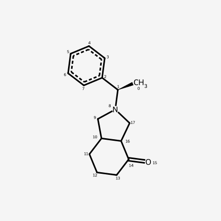 C[C@H](c1ccccc1)N1CC2CCCC(=O)C2C1